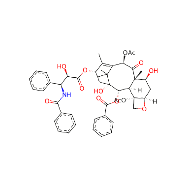 CC(=O)O[C@H]1C(=O)[C@@]2(C)[C@H]([C@H](OC(=O)c3ccccc3)[C@@]3(O)C[C@H](OC(=O)[C@H](O)[C@@H](NC(=O)c4ccccc4)c4ccccc4)C(C)=C1C3(C)C)[C@]1(OC(C)=O)CO[C@@H]1C[C@@H]2O